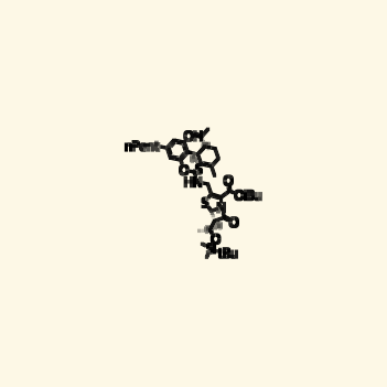 C=C(C)[C@@H]1CCC(C)=C[C@H]1c1c(O)cc(CCCCC)cc1OC(=S)NCC1=C(C(=O)OCC(C)C)N2C(=O)[C@H]([C@@H](C)O[Si](C)(C)C(C)(C)C)C2S1